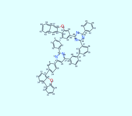 c1ccc(-c2nc(-c3ccc(-c4cccc5c4oc4ccccc45)cc3)cc(-c3cccc(-c4cccc(-c5nc(-c6ccccc6)nc(-c6ccc7c(c6)oc6cc8ccccc8cc67)n5)c4)c3)n2)cc1